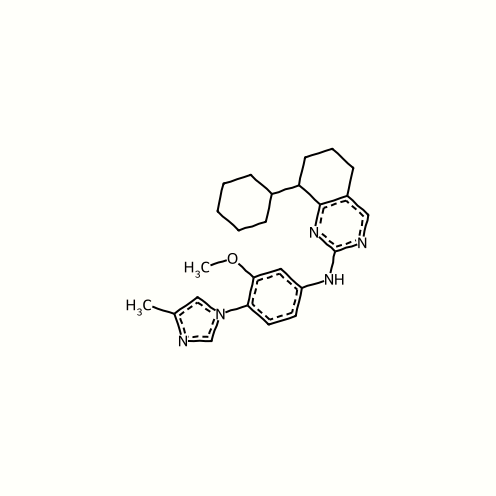 COc1cc(Nc2ncc3c(n2)C(C2CCCCC2)CCC3)ccc1-n1cnc(C)c1